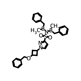 CB(Cc1ccccc1)N(B(C)Cc1ccccc1)S(=O)(=O)c1ccn(C2CC(OCc3ccccc3)C2)n1